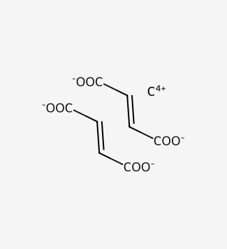 O=C([O-])C=CC(=O)[O-].O=C([O-])C=CC(=O)[O-].[C+4]